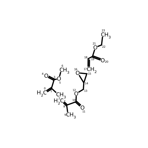 C=C(C)C(=O)OC.C=C(C)C(=O)OCC1CO1.C=CC(=O)OCC